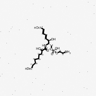 CCCCCCCC/C=C/C=C/[C@@H](O)[C@H](COP(=O)(O)OCCN)NC(=O)C(O)CCCCCCCCCCCCCCCC